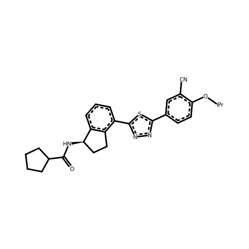 CC(C)Oc1ccc(-c2nnc(-c3cccc4c3CC[C@H]4NC(=O)C3CCCC3)s2)cc1C#N